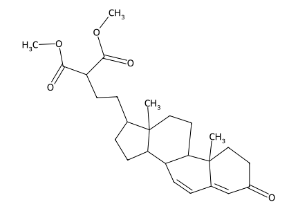 COC(=O)C(CCC1CCC2C3C=CC4=CC(=O)CCC4(C)C3CCC12C)C(=O)OC